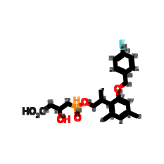 Cc1cc(C)c(C(C)CO[PH](=O)CC(O)CC(=O)O)c(OCc2ccc(F)cc2)c1